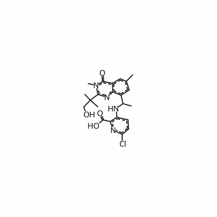 Cc1cc(C(C)Nc2ccc(Cl)nc2C(=O)O)c2nc(C(C)(C)CO)n(C)c(=O)c2c1